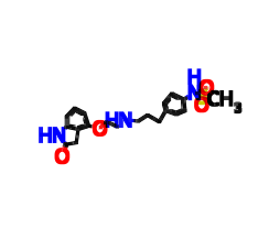 CS(=O)(=O)Nc1ccc(CCCNCCOc2cccc3c2CC(=O)N3)cc1